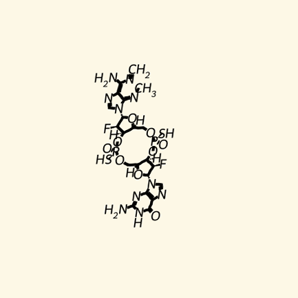 C=N/C(N)=C1/N=CN([C@@H]2O[C@@H]3CO[P@@](=O)(S)O[C@H]4[C@@H](F)[C@H](n5cnc6c(=O)[nH]c(N)nc65)O[C@@H]4CO[P@@](=O)(S)O[C@H]3[C@H]2F)/C1=N/C